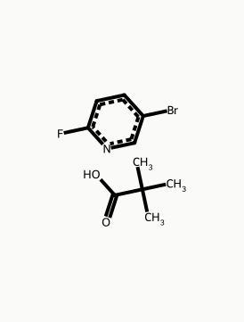 CC(C)(C)C(=O)O.Fc1ccc(Br)cn1